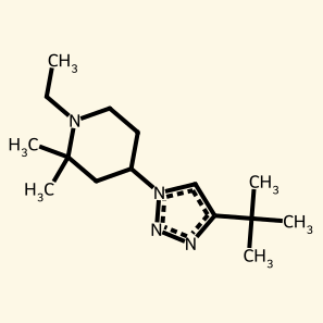 CCN1CCC(n2cc(C(C)(C)C)nn2)CC1(C)C